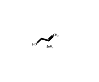 C=CCO.[SnH4]